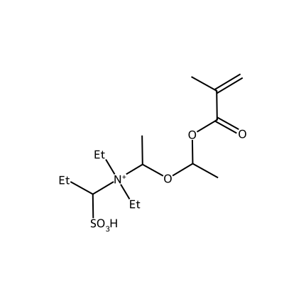 C=C(C)C(=O)OC(C)OC(C)[N+](CC)(CC)C(CC)S(=O)(=O)O